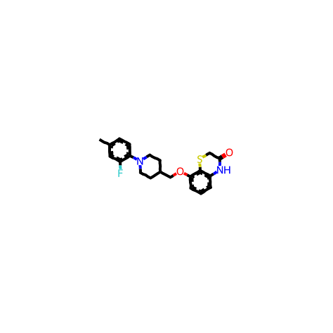 Cc1ccc(N2CCC(COc3cccc4c3SCC(=O)N4)CC2)c(F)c1